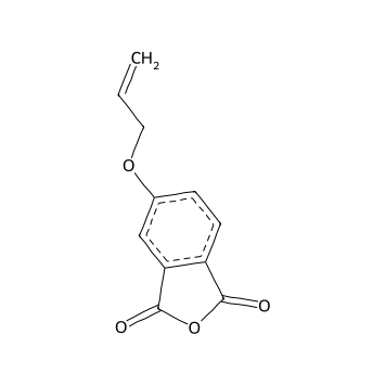 C=CCOc1ccc2c(c1)C(=O)OC2=O